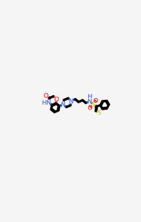 O=C1COc2c(cccc2N2CCN(CCCCNS(=O)(=O)c3csc4ccccc34)CC2)N1